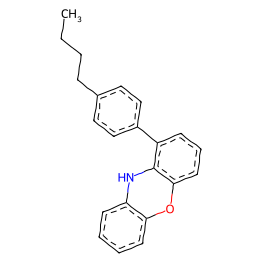 CCCCc1ccc(-c2cccc3c2Nc2ccccc2O3)cc1